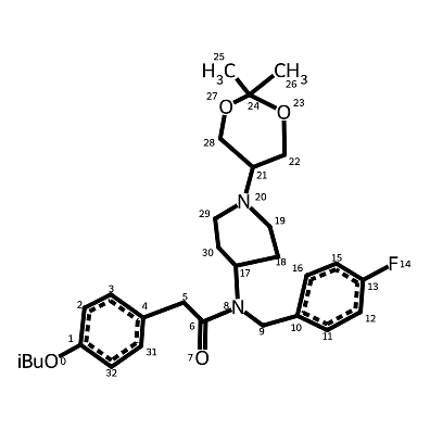 CC(C)COc1ccc(CC(=O)N(Cc2ccc(F)cc2)C2CCN(C3COC(C)(C)OC3)CC2)cc1